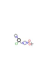 CC(C)(C)OC(=O)N1CCN(Cc2ccc(N3CCCC3)cc2Cl)CC1